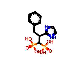 O=P(O)(O)C(C(Cc1ccccc1)c1ncc[nH]1)P(=O)(O)O